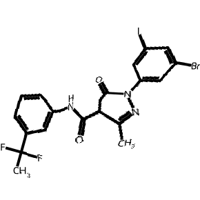 CC1=NN(c2cc(Br)cc(I)c2)C(=O)C1C(=O)Nc1cccc(C(C)(F)F)c1